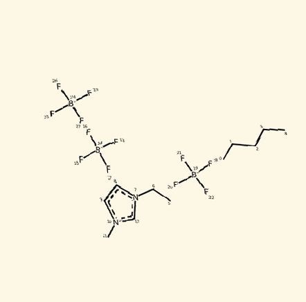 CCCCC.CCn1cc[n+](C)c1.F[B-](F)(F)F.F[B-](F)(F)F.F[B-](F)(F)F